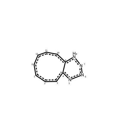 c1cccc2nnn[nH]c-2ccc1